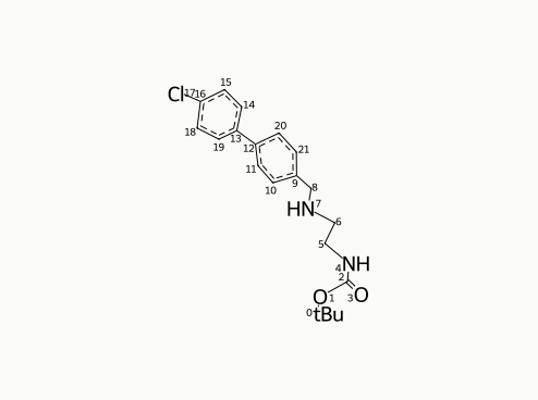 CC(C)(C)OC(=O)NCCNCc1ccc(-c2ccc(Cl)cc2)cc1